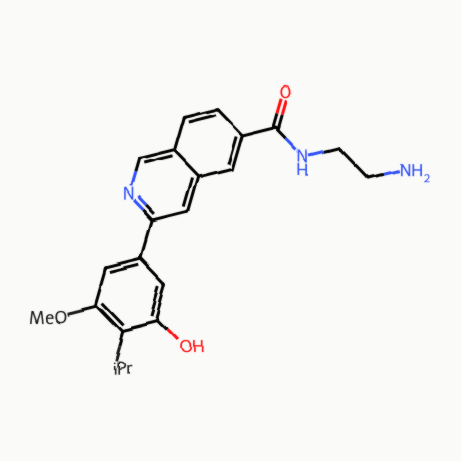 COc1cc(-c2cc3cc(C(=O)NCCN)ccc3cn2)cc(O)c1C(C)C